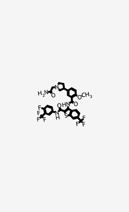 COc1ccc(C2CCN(CC(N)=O)C2)cc1C(=O)Nc1c(C(=O)Nc2ccc(F)c(C(F)(F)F)c2)sc2cc(C(F)(F)F)ccc12